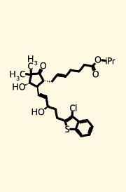 CC(C)OC(=O)CCC/C=C/C[C@H]1C(=O)C(C)(C)[C@@H](O)[C@@H]1/C=C/[C@H](O)CCc1sc2ccccc2c1Cl